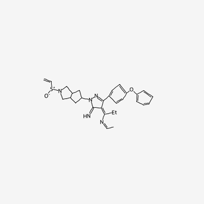 C=C[S+]([O-])N1CC2CC(N3N=C(c4ccc(Oc5ccccc5)cc4)/C(=C(CC)/N=C\C)C3=N)CC2C1